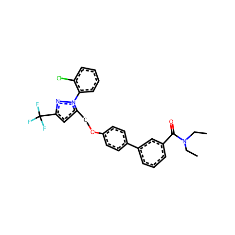 CCN(CC)C(=O)c1cccc(-c2ccc(OCc3cc(C(F)(F)F)nn3-c3ccccc3Cl)cc2)c1